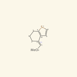 CO/C=C1\CCCc2sccc21